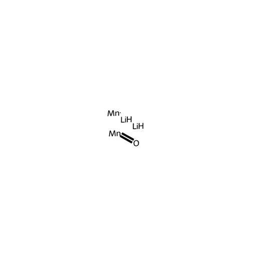 [LiH].[LiH].[Mn].[O]=[Mn]